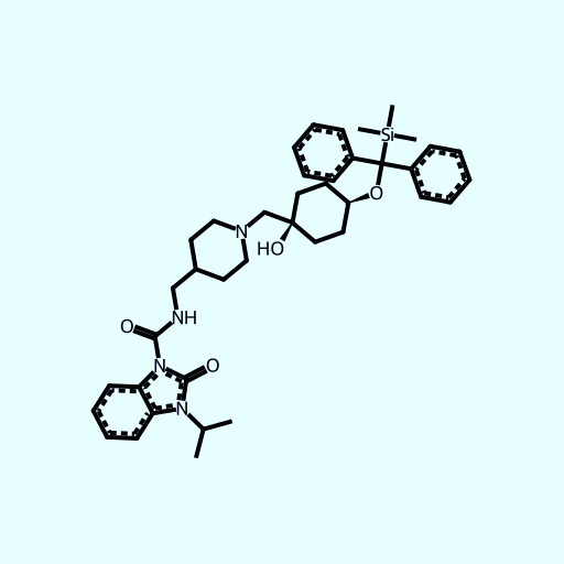 CC(C)n1c(=O)n(C(=O)NCC2CCN(C[C@]3(O)CC[C@@H](OC(c4ccccc4)(c4ccccc4)[Si](C)(C)C)CC3)CC2)c2ccccc21